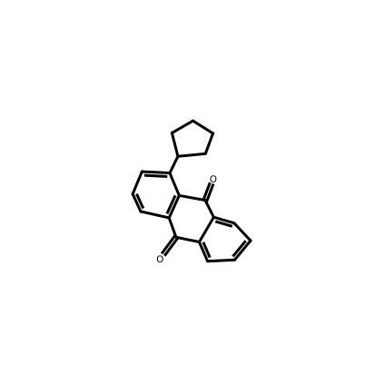 O=C1c2ccccc2C(=O)c2c1cccc2C1CCCC1